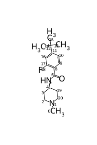 CN1CCC(NC(=O)c2ccc(C(C)(C)C)cc2F)CC1